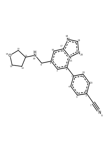 N#Cc1ccc(-c2cc(CNC3CCOC3)cc3ncnn23)cc1